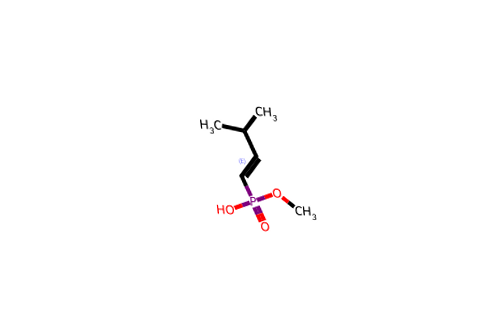 COP(=O)(O)/C=C/C(C)C